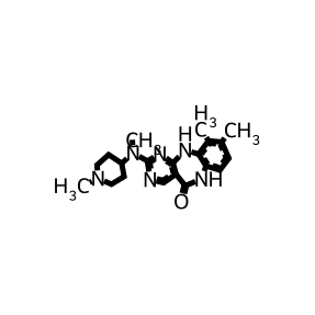 Cc1ccc2c(c1C)Nc1nc(N(C)C3CCN(C)CC3)ncc1C(=O)N2